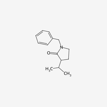 CC(C)C1CCN(Cc2ccccc2)C1=O